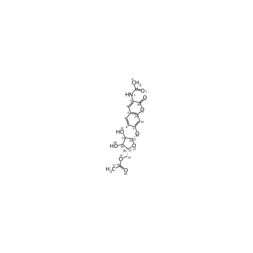 CC(=O)Nc1cc2ccc(O[C@@H]3O[C@H](COC(C)=O)C(O)C3O)cc2oc1=O